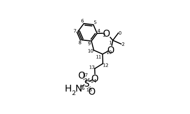 CC1(C)Oc2ccc#cc2CC(CCOS(N)(=O)=O)O1